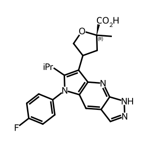 CC(C)c1c(C2CO[C@@](C)(C(=O)O)C2)c2nc3[nH]ncc3cc2n1-c1ccc(F)cc1